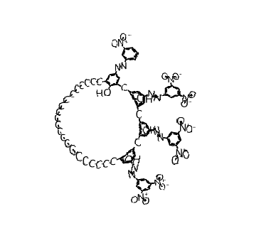 O=[N+]([O-])c1cccc(N=Nc2cc3c(O)c(c2)Cc2cc(N=Nc4cc([N+](=O)[O-])cc([N+](=O)[O-])c4)cc(c2O)Cc2cc(N=Nc4cc([N+](=O)[O-])cc([N+](=O)[O-])c4)cc(c2O)Cc2cc(N=Nc4cc([N+](=O)[O-])cc([N+](=O)[O-])c4)cc(c2O)CCCCCCCCCCCCCCCCCCCCC3)c1